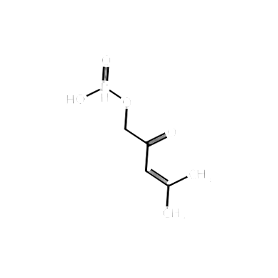 CC(C)=CC(=O)CO[PH](=O)O